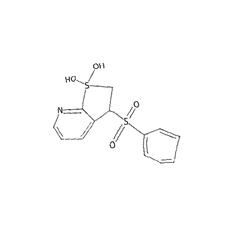 O=S(=O)(c1ccccc1)C1CS(O)(O)c2ncccc21